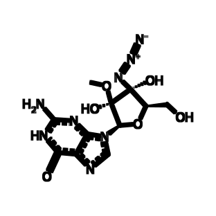 CO[C@]1(O)[C@H](n2cnc3c(=O)[nH]c(N)nc32)O[C@H](CO)[C@]1(O)N=[N+]=[N-]